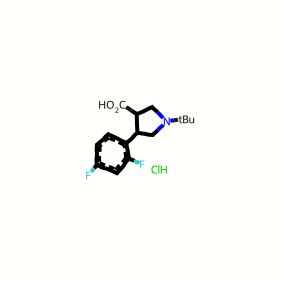 CC(C)(C)N1CC(C(=O)O)C(c2ccc(F)cc2F)C1.Cl